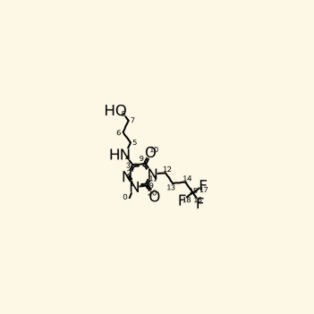 Cn1nc(NCCCO)c(=O)n(CCCC(F)(F)F)c1=O